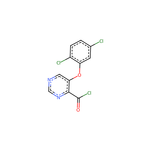 O=C(Cl)c1ncncc1Oc1cc(Cl)ccc1Cl